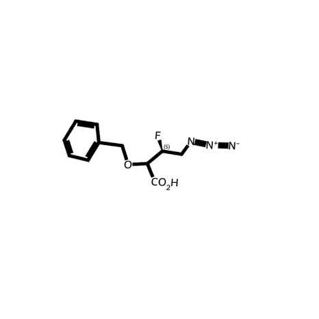 [N-]=[N+]=NC[C@H](F)C(OCc1ccccc1)C(=O)O